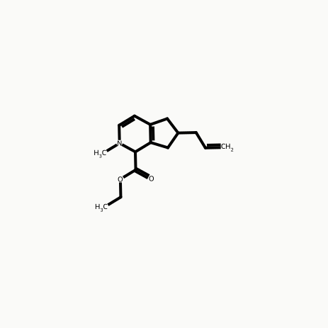 C=CCC1CC2=C(C1)C(C(=O)OCC)N(C)C=C2